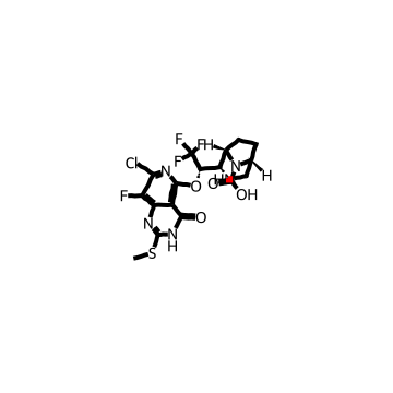 CSc1nc2c(F)c(Cl)nc(O[C@@H]([C@H]3NC[C@H]4CC[C@@H]3N4C(=O)O)C(F)(F)F)c2c(=O)[nH]1